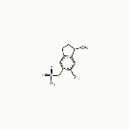 CC(=O)OC1CCc2cc(OS(=O)(=O)C(F)(F)F)c(C)cc21